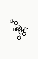 CC(C)N1C(=O)[C@H](NC(=O)Cc2cccc(Cl)c2)N=C(c2ccccc2)c2ccccc21